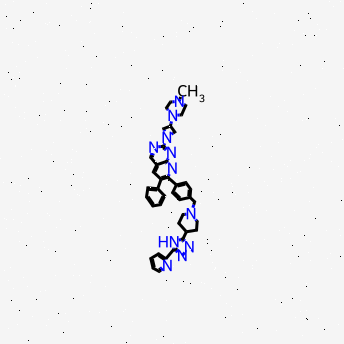 CN1CCN(C2CN(c3ncc4cc(-c5ccccc5)c(-c5ccc(CN6CCC(c7nnc(-c8ccccn8)[nH]7)CC6)cc5)nc4n3)C2)CC1